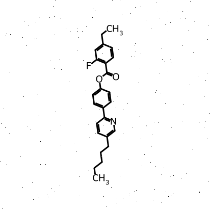 CCCCCc1ccc(-c2ccc(OC(=O)c3ccc(CC)cc3F)cc2)nc1